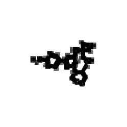 C[C@H]1COCCN1c1nc(NC2(CO)CNC2)cc(-c2cnc(N)nc2)n1